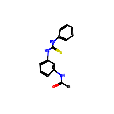 CCC(=O)Nc1cccc(NC(=S)Nc2ccccc2)c1